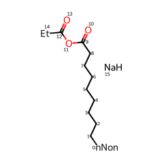 CCCCCCCCCCCCCCCCCC(=O)OC(=O)CC.[NaH]